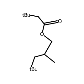 CC(COC(=O)CC(C)(C)C)CC(C)(C)C